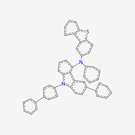 c1ccc(-c2ccc(-n3c4ccc(-c5ccccc5)cc4c4c(N(c5ccccc5)c5ccc6sc7ccccc7c6c5)cccc43)cc2)cc1